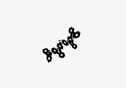 c1ccc2c(c1)c1ccccc1n2-c1ccc2c(c1)c1ccccc1n2-c1ccc(Sc2ccc(-n3c4ccccc4c4cc(-n5c6ccccc6c6ccccc65)ccc43)cc2)cc1